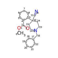 COC(=O)c1ccccc1C1(C#N)CCN(Cc2ccccc2)CC1